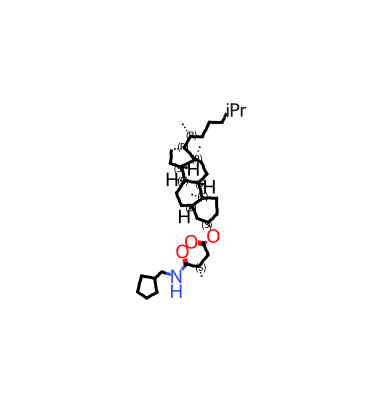 CC(C)CCC[C@@H](C)[C@H]1CC[C@H]2[C@@H]3CC[C@H]4C[C@@H](OC(=O)C[C@H](C)C(=O)NCC5CCCC5)CC[C@]4(C)[C@H]3CC[C@]12C